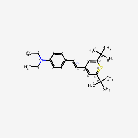 CCN(CC)c1ccc(/C=C/c2cc(C(C)(C)C)[s+]c(C(C)(C)C)c2)cc1